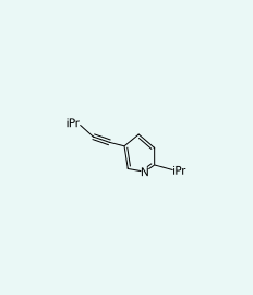 CC(C)C#Cc1ccc(C(C)C)nc1